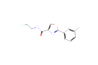 Cc1cccc(-c2nc(C(=O)NCCF)co2)c1